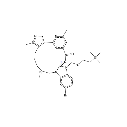 Cc1cc2cc(n1)-c1cnn(C)c1CCC[C@@H](C)CN1/C(=N/C2=O)N(COCC[Si](C)(C)C)c2ccc(Br)cc21